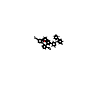 N#Cc1ccc2c(c1)c1ccccc1n2-c1cccc(C#N)c1-c1cc(-c2cccc(-n3c4ccccc4c4ccccc43)c2)ccc1C#N